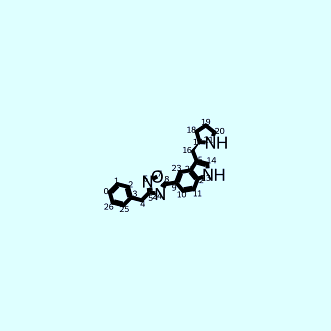 c1ccc(Cc2noc(-c3ccc4[nH]cc(C[C@H]5CCCN5)c4c3)n2)cc1